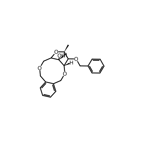 C[C@@H]1OC2COCc3ccccc3CO[C@@H](C1OCc1ccccc1)[C@H]2O